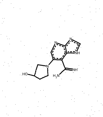 N=C(N)c1c(N2CCC(O)C2)cnc2nc[nH]c12